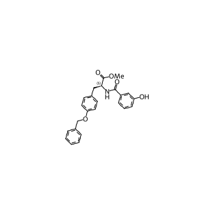 COC(=O)[C@H](Cc1ccc(OCc2ccccc2)cc1)NC(=O)c1cccc(O)c1